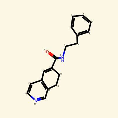 O=C(NCCc1ccccc1)C1=Cc2ccncc2CC1